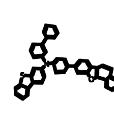 c1ccc(-c2cccc(N(c3ccc(-c4ccc5c(c4)oc4c6ccccc6ccc54)cc3)c3ccc4c(c3)sc3ccccc34)c2)cc1